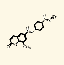 Cc1cc(NC[C@H]2CC[C@H](NSC(C)C)CC2)cc2ccc(=O)oc12